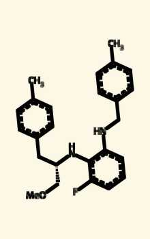 COC[C@H](Cc1ccc(C)cc1)Nc1c(F)cccc1NCc1ccc(C)cc1